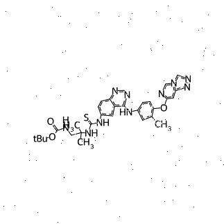 Cc1cc(Nc2ncnc3ccc(NC(=S)NC(C)(C)CNC(=O)OC(C)(C)C)cc23)ccc1Oc1cc2nncn2cn1